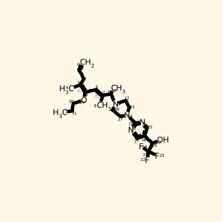 C=CC/C(C)=C(\C=C(/C)C(C)N1CCN(c2ncc(C(O)C(F)(F)F)cn2)CC1)OCCC